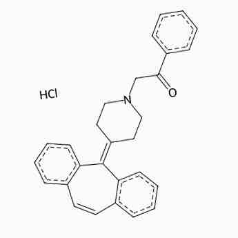 Cl.O=C(CN1CCC(=C2c3ccccc3C=Cc3ccccc32)CC1)c1ccccc1